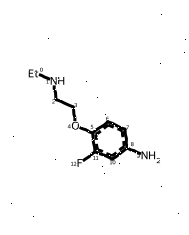 CCNCCOc1ccc(N)cc1F